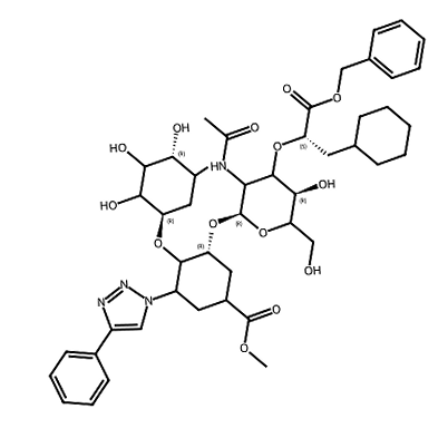 COC(=O)C1CC(n2cc(-c3ccccc3)nn2)C(O[C@@H]2CC(C)[C@@H](O)C(O)C2O)[C@H](O[C@@H]2OC(CO)[C@H](O)C(O[C@@H](CC3CCCCC3)C(=O)OCc3ccccc3)C2NC(C)=O)C1